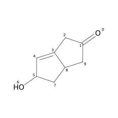 O=C1CC2=CC(O)CC2C1